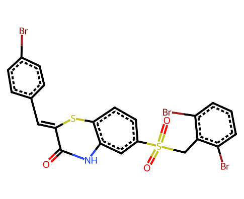 O=C1Nc2cc(S(=O)(=O)Cc3c(Br)cccc3Br)ccc2SC1=Cc1ccc(Br)cc1